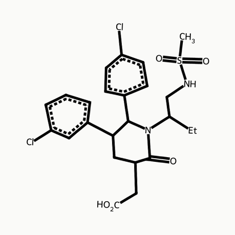 CCC(CNS(C)(=O)=O)N1C(=O)C(CC(=O)O)CC(c2cccc(Cl)c2)C1c1ccc(Cl)cc1